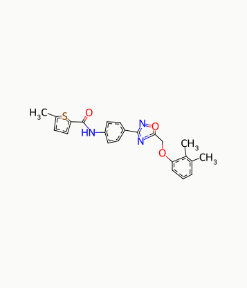 Cc1ccc(C(=O)Nc2ccc(-c3noc(COc4cccc(C)c4C)n3)cc2)s1